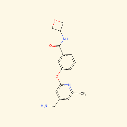 NCc1cc(Oc2cccc(C(=O)NC3COC3)c2)nc(C(F)(F)F)c1